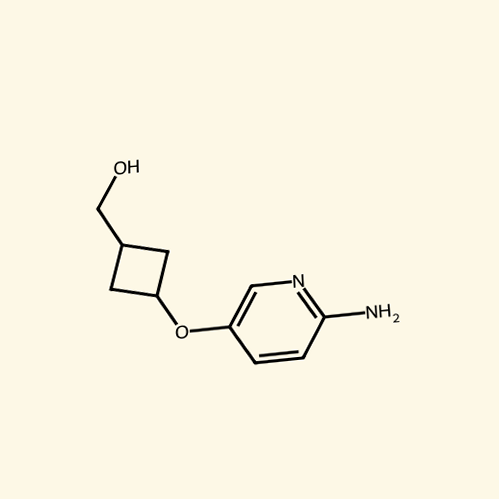 Nc1ccc(OC2CC(CO)C2)cn1